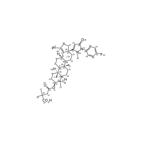 CC(C)C1=C2[C@H]3CC[C@@H]4[C@@]5(C)CC[C@H](OC(=O)CC(C)(C)C(=O)O)C(C)(C)[C@@H]5CC[C@@]4(C)[C@]3(C)CC[C@@]2(c2cc(=O)n(-c3ccc(F)cc3)n2C)CC1